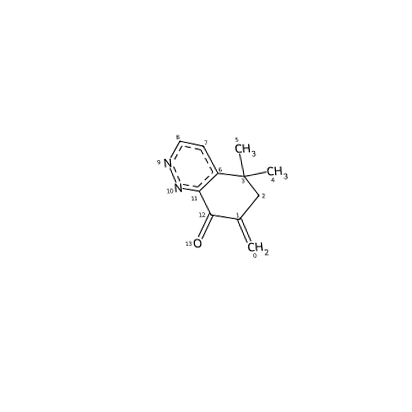 C=C1CC(C)(C)c2ccnnc2C1=O